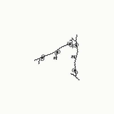 CCCCC(CCCC)CCOC(=O)CCCCCCCCCC(CCCCCCCCCC(=O)OCCC(CCCC)CCC(C)C(CC)CC(CCCC)CC(=O)OCCCCCCCCCCC(CCCCCCCCCCOC(=O)CC(CCCC)CCCC)C(=O)OCCCN(C)C(C)C)CN(C)C(C)C